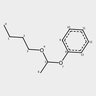 CCCCOC(C)Oc1[c]cccc1